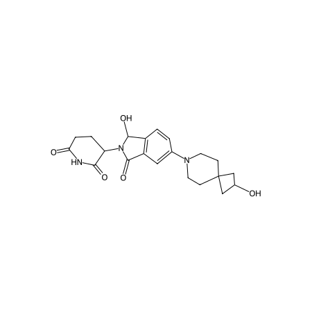 O=C1CCC(N2C(=O)c3cc(N4CCC5(CC4)CC(O)C5)ccc3C2O)C(=O)N1